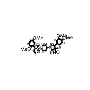 C=CC(c1cc(OC)ccc1OC)S(=O)(=O)N1CCC(N2N=C(c3ccc(OC)c(OC)c3)C(C)(C)C2C=O)CC1